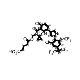 N#CC1(N(COC(=O)CCCC(=O)O)C(=O)c2cc(-c3cnn(-c4c(Cl)cc(C(F)(C(F)(F)F)C(F)(F)F)cc4OC(F)(F)F)c3)ccc2Cl)CC1